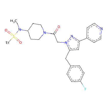 CCS(=O)(=O)N(C)C1CCN(C(=O)Cn2nc(-c3ccncc3)cc2Cc2ccc(F)cc2)CC1